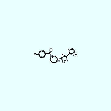 O=C(c1ccc(F)cc1)N1CCC[C@H](c2nc(-c3ncc[nH]3)no2)C1